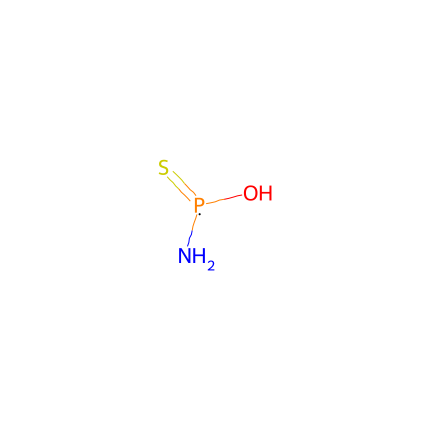 N[P](O)=S